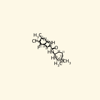 Cc1nc2[nH]c(C(=O)NC3CCC[Si](C)(C)CN3)cc2c(F)c1Cl